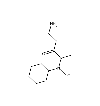 CC(C)N(C1CCCCC1)N(C)C(=O)CCN